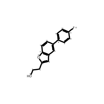 OCCc1cc2cc(-c3ccc(F)cc3)ccc2o1